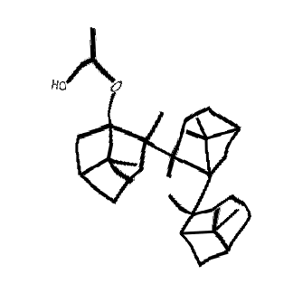 CC(O)OC12CC(CCC1(C)C1(C)CCC3CC1(C1(C)CCC4CC1C4(C)C)C3(C)C)C2(C)C